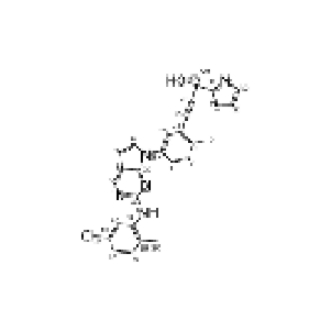 Cc1ccc(-n2ccc3cnc(Nc4cc(Cl)ccc4C)nc32)cc1C#CC(C)(O)c1nccs1